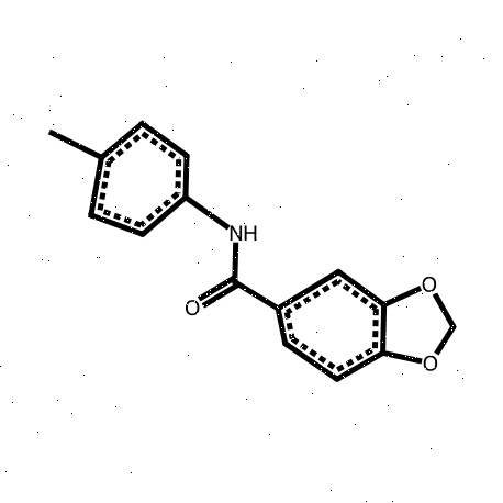 Cc1ccc(NC(=O)c2ccc3c(c2)OCO3)cc1